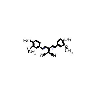 COc1cc(/C=C/C(/C=C/c2ccc(O)c(OC)c2)=C(C#N)C#N)ccc1O